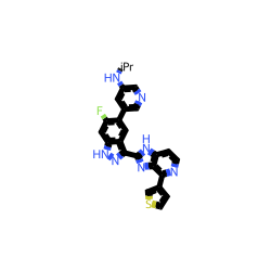 CC(C)Nc1cncc(-c2cc3c(-c4nc5c(-c6ccsc6)nccc5[nH]4)n[nH]c3cc2F)c1